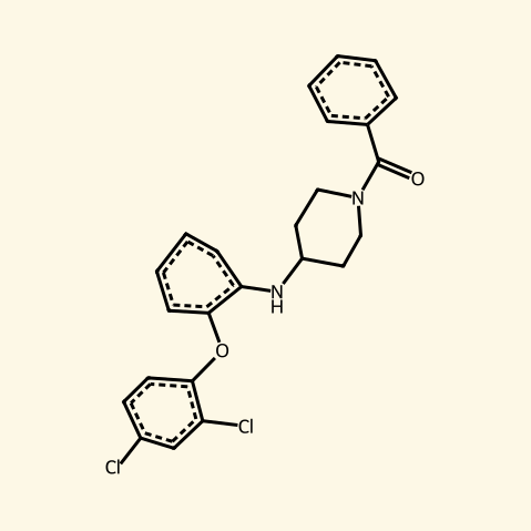 O=C(c1ccccc1)N1CCC(Nc2ccccc2Oc2ccc(Cl)cc2Cl)CC1